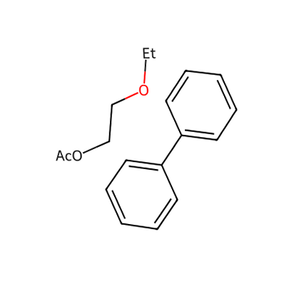 CCOCCOC(C)=O.c1ccc(-c2ccccc2)cc1